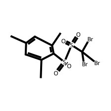 Cc1cc(C)c(S(=O)(=O)S(=O)(=O)C(Br)(Br)Br)c(C)c1